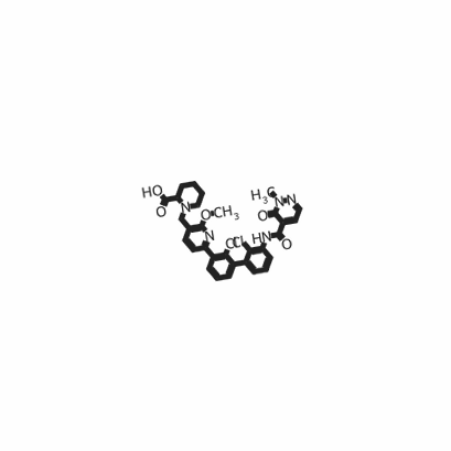 COc1nc(-c2cccc(-c3cccc(NC(=O)c4ccnn(C)c4=O)c3Cl)c2Cl)ccc1CN1CCCCC1C(=O)O